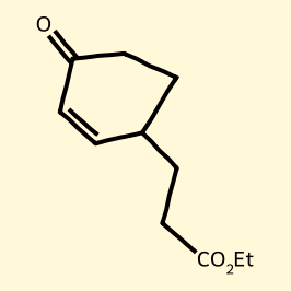 CCOC(=O)CCC1C=CC(=O)CC1